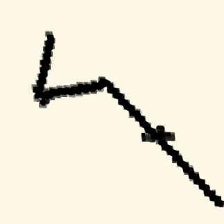 CCCCCCCCCCCCCCCCCCCCCCCC[C@@H](C(=O)O)[C@H](O)CCCCCCCCCCCCCCCCC[C@@H]1CC1CCCCCCCCCCCCCCCC[C@@H](OC)[C@@H](C)C(C)CCCCCCCCCCCCCCCC